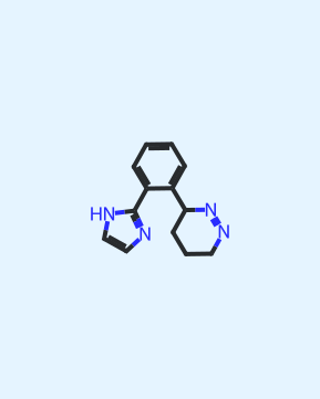 c1ccc(C2CCCN=N2)c(-c2ncc[nH]2)c1